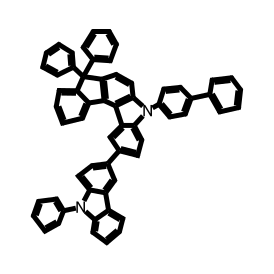 c1ccc(-c2ccc(-n3c4ccc(-c5ccc6c(c5)c5ccccc5n6-c5ccccc5)cc4c4c5c(ccc43)C(c3ccccc3)(c3ccccc3)c3ccccc3-5)cc2)cc1